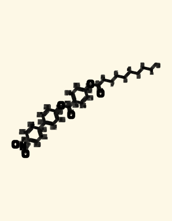 CCCCCCCCCC(=O)Oc1ccc(C(=O)Oc2ccc(-c3ccc([N+](=O)[O-])cc3)cc2)cc1